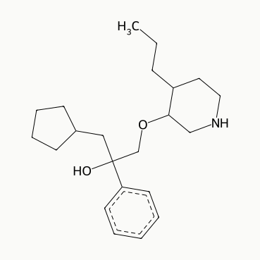 CCCC1CCNCC1OCC(O)(CC1CCCC1)c1ccccc1